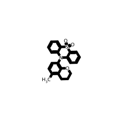 Cc1ccc(N2c3ccccc3S(=O)(=O)c3ccccc32)c2c1CCCO2